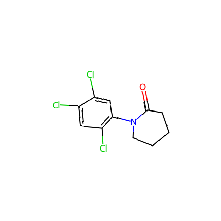 O=C1CCCCN1c1cc(Cl)c(Cl)cc1Cl